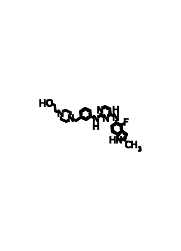 Cc1cc2c(F)c(Nc3ccnc(Nc4cccc(CN5CCN(CCO)CC5)c4)n3)ccc2[nH]1